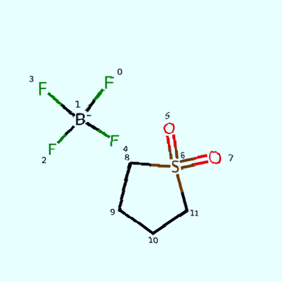 F[B-](F)(F)F.O=S1(=O)CCCC1